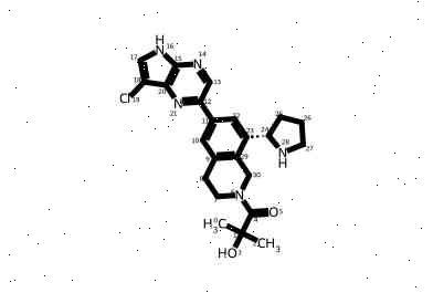 CC(C)(O)C(=O)N1CCc2cc(-c3cnc4[nH]cc(Cl)c4n3)cc([C@@H]3CCCN3)c2C1